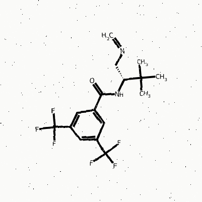 C=NC[C@@H](NC(=O)c1cc(C(F)(F)F)cc(C(F)(F)F)c1)C(C)(C)C